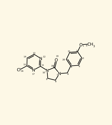 COc1ccc(CN2CCN(c3nccc(Cl)n3)C2=O)cc1